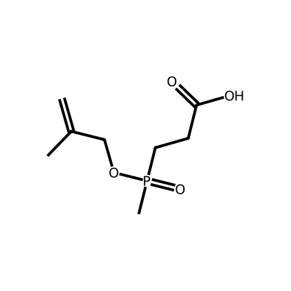 C=C(C)COP(C)(=O)CCC(=O)O